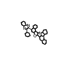 c1ccc(-c2nc3ccccc3nc2-c2cc3oc4c5cc6ccccc6c6c7ccccc7n(c56)c4c3c3ccccc23)cc1